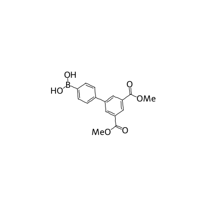 COC(=O)c1cc(C(=O)OC)cc(-c2ccc(B(O)O)cc2)c1